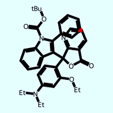 CCOc1cc(N(CC)CC)ccc1C1(c2c(-c3ccccc3)n(C(=O)OC(C)(C)C)c3ccccc23)OC(=O)c2cccnc21